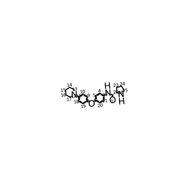 O=C(Nc1ccc(Oc2ccc(N3CCCCC3)cc2)cc1)[C@@H]1CCCN1